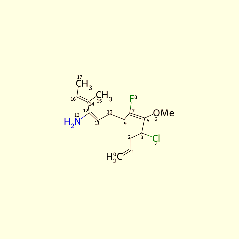 C=CCC(Cl)/C(OC)=C(/F)CC/C=C(N)\C(C)=C\C